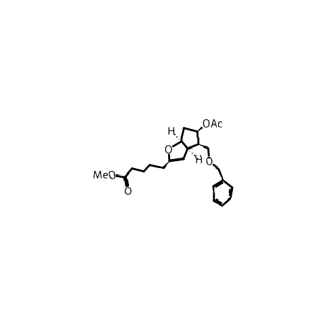 COC(=O)CCCC[C@@H]1C[C@@H]2[C@H](COCc3ccccc3)[C@H](OC(C)=O)C[C@@H]2O1